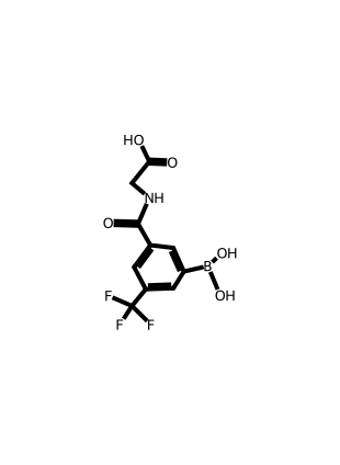 O=C(O)CNC(=O)c1cc(B(O)O)cc(C(F)(F)F)c1